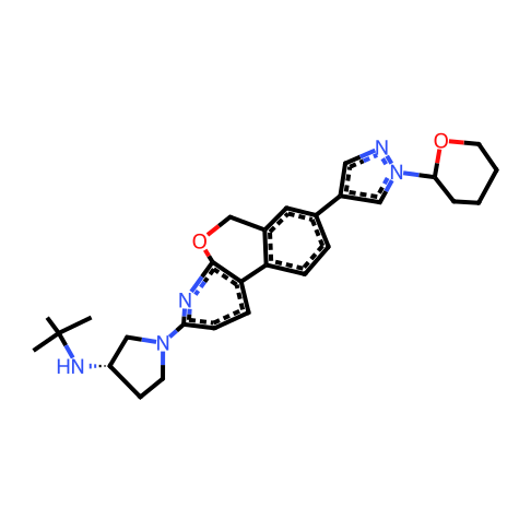 CC(C)(C)N[C@H]1CCN(c2ccc3c(n2)OCc2cc(-c4cnn(C5CCCCO5)c4)ccc2-3)C1